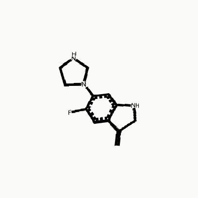 C=C1CNc2cc(N3CCNC3)c(F)cc21